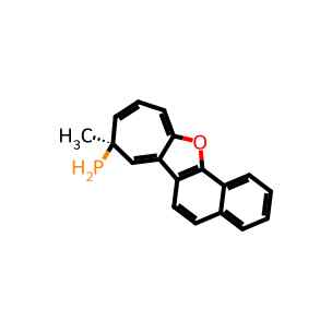 C[C@]1(P)C=CC=c2oc3c(ccc4ccccc43)c2=C1